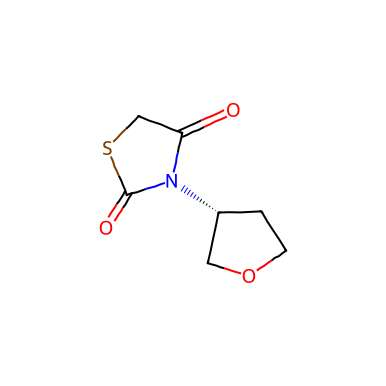 O=C1CSC(=O)N1[C@@H]1CCOC1